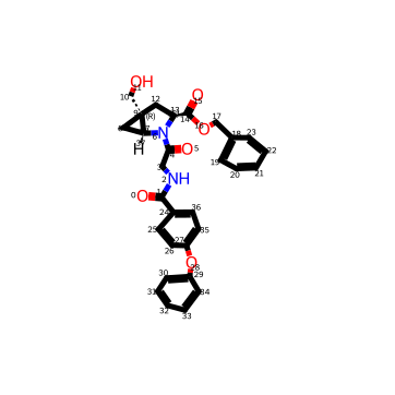 O=C(NCC(=O)N1[C@H]2C[C@@]2(CO)C[C@H]1C(=O)OCc1ccccc1)c1ccc(Oc2ccccc2)cc1